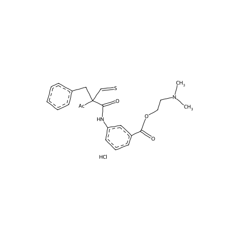 CC(=O)C(C=S)(Cc1ccccc1)C(=O)Nc1cccc(C(=O)OCCN(C)C)c1.Cl